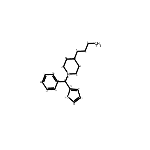 CCCCC1CCN(C(c2ccccc2)c2cccs2)CC1